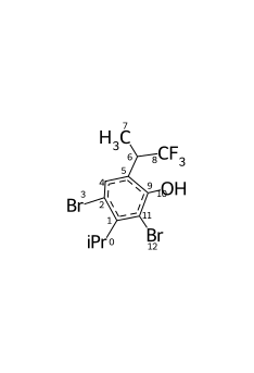 CC(C)c1c(Br)cc(C(C)C(F)(F)F)c(O)c1Br